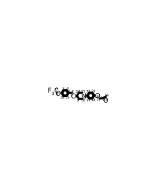 FC(F)(F)Oc1ccc(COC2CCN(c3ccc(OCC4CO4)cc3)CC2)cc1